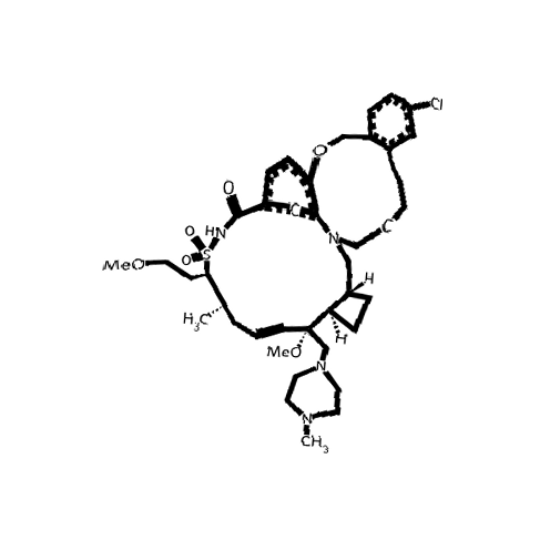 COCC[C@@H]1[C@@H](C)C/C=C/[C@@](CN2CCN(C)CC2)(OC)[C@@H]2CC[C@H]2CN2CCCCc3cc(Cl)ccc3COc3ccc(cc32)C(=O)NS1(=O)=O